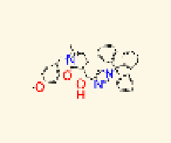 COc1ccc(CN2C(=O)C(C(O)c3cn(C(c4ccccc4)(c4ccccc4)c4ccccc4)cn3)CC[C@@H]2C)cc1